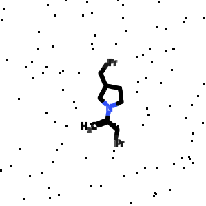 C=C(CC(C)C)N1CCC(CC(C)C)C1